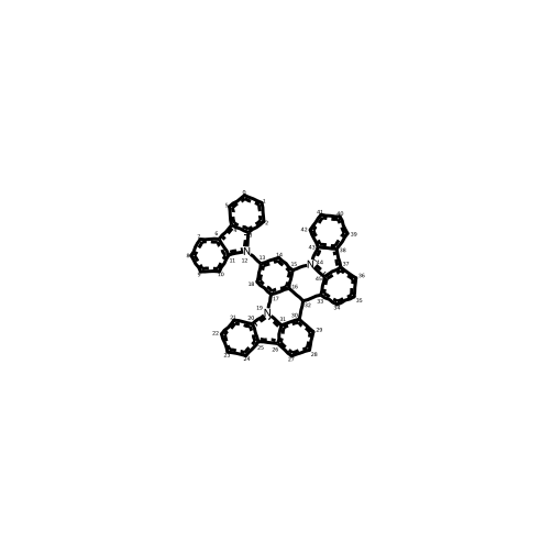 c1ccc2c(c1)c1ccccc1n2-c1cc2c3c(c1)-n1c4ccccc4c4cccc(c41)C3c1cccc3c4ccccc4n-2c13